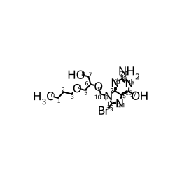 CCCCOCC(CO)OCn1c(Br)nc2c(O)nc(N)nc21